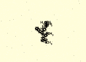 COC(=O)c1ccnc2ccc(-c3ccc(OC)cc3OCC[C@@H](Cc3ccc4ccccc4c3)NC(=O)C3CCC(CNC(=O)OC(C)(C)C)CC3)cc12